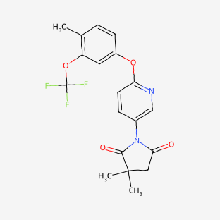 Cc1ccc(Oc2ccc(N3C(=O)CC(C)(C)C3=O)cn2)cc1OC(F)(F)F